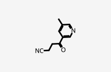 Cc1cncc(C(=O)CCC#N)c1